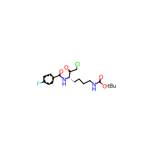 CC(C)(C)OC(=O)NCCCC[C@H](NC(=O)c1ccc(F)cc1)C(=O)CCl